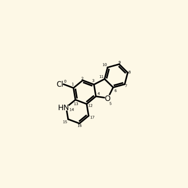 Clc1cc2c(oc3ccccc32)c2c1NCC=C2